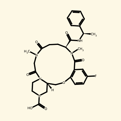 C[C@@H](NC(=O)[C@@H]1CCC(=O)N(C)CC(=O)N2CCN(C(=O)O)C[C@H]2COc2ccc(F)cc2C(=O)N1C)c1ccccc1